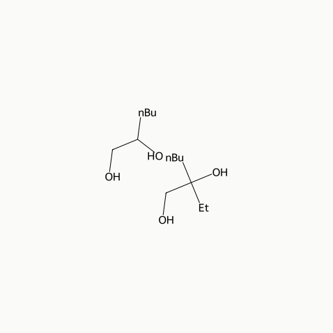 CCCCC(O)(CC)CO.CCCCC(O)CO